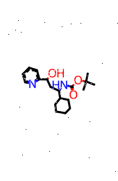 CC(C)(C)OC(=O)NC(CC(O)c1ccccn1)C1CCCCC1